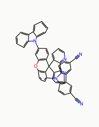 N#Cc1ccc2c(c1)c1cc(C#N)ccc1n2-c1cccc2c1C1(c3ccc(-n4c5ccccc5c5ccccc54)cc3O2)c2cccnc2-c2ncccc21